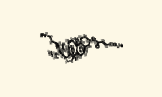 CC(C)CCC[C@@H](C)[C@H]1CC[C@H]2[C@@H]3CC=C4C[C@@H](OC(=O)C=CC(=O)O)CC[C@]4(C)[C@H]3CC[C@]12C